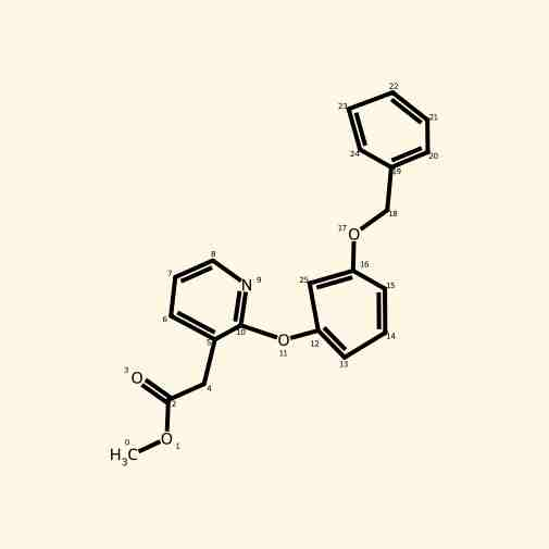 COC(=O)Cc1cccnc1Oc1cccc(OCc2ccccc2)c1